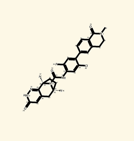 CN1CCc2cc(-c3cc(F)c(NC(=O)N4[C@H]5CC[C@@H]4c4n[nH]c(=O)cc4C5)cc3Cl)ccc2C1=O